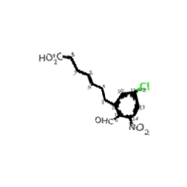 O=Cc1c(CCCCCCC(=O)O)cc(Cl)cc1[N+](=O)[O-]